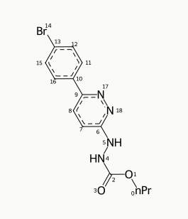 CCCOC(=O)NNc1ccc(-c2ccc(Br)cc2)nn1